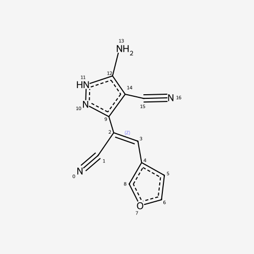 N#C/C(=C\c1ccoc1)c1n[nH]c(N)c1C#N